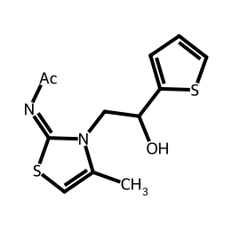 CC(=O)N=c1scc(C)n1CC(O)c1cccs1